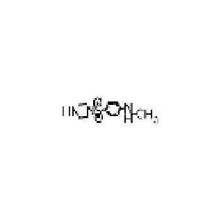 CCNc1ccc(S(=O)(=O)N2CCNCC2)cc1